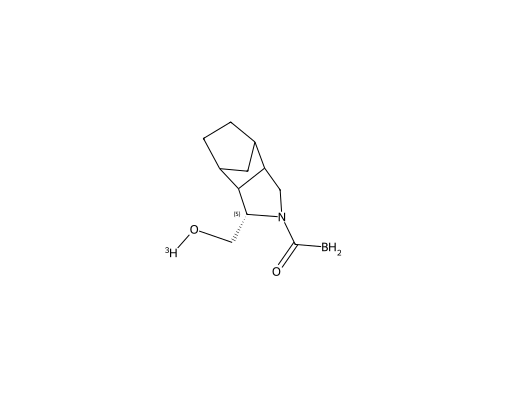 [3H]OC[C@@H]1C2C3CCC(C3)C2CN1C(B)=O